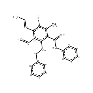 C/C=C/c1c(F)c(C)c(C(=O)Oc2ccccc2)c(OCc2ccccc2)c1C=O